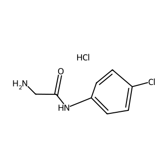 Cl.NCC(=O)Nc1ccc(Cl)cc1